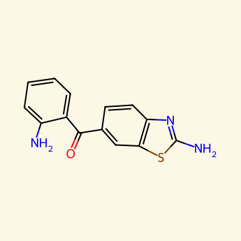 Nc1nc2ccc(C(=O)c3ccccc3N)cc2s1